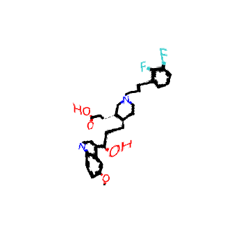 COc1ccc2nccc([C@H](O)CC[C@@H]3CCN(CCCc4cccc(F)c4F)C[C@H]3CCC(=O)O)c2c1